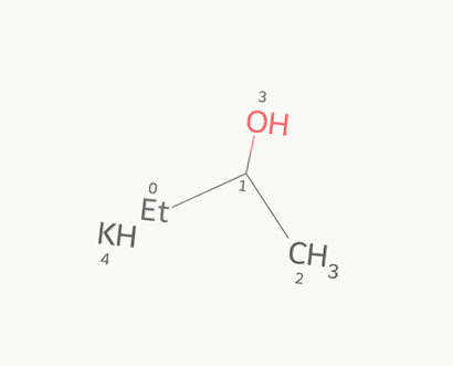 CCC(C)O.[KH]